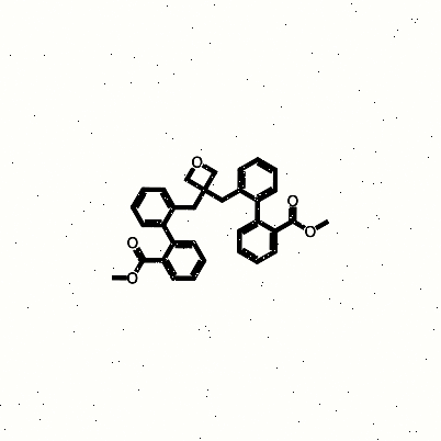 COC(=O)c1ccccc1-c1ccccc1CC1(Cc2ccccc2-c2ccccc2C(=O)OC)COC1